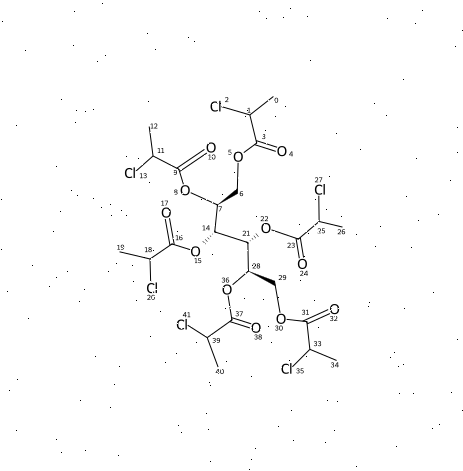 CC(Cl)C(=O)OC[C@H](OC(=O)C(C)Cl)[C@@H](OC(=O)C(C)Cl)[C@H](OC(=O)C(C)Cl)[C@@H](COC(=O)C(C)Cl)OC(=O)C(C)Cl